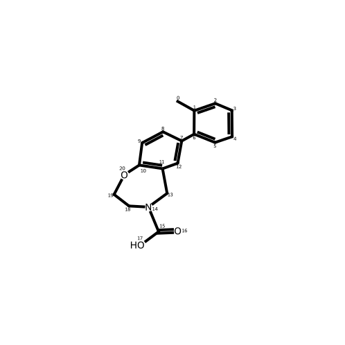 Cc1ccccc1-c1ccc2c(c1)CN(C(=O)O)CCO2